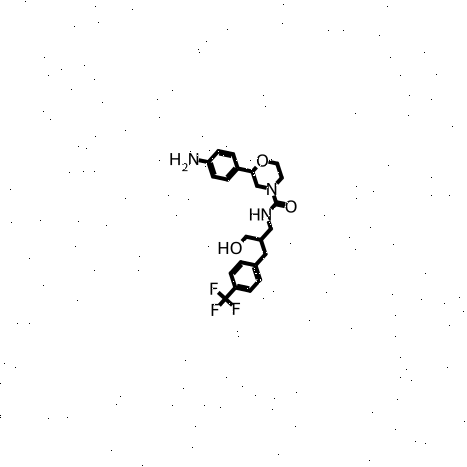 Nc1ccc(C2CN(C(=O)NCC(CO)Cc3ccc(C(F)(F)F)cc3)CCO2)cc1